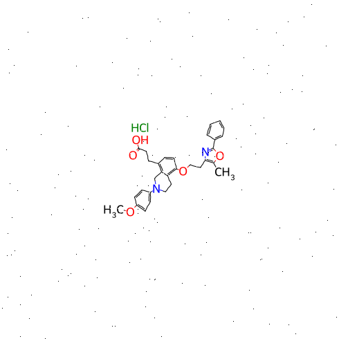 COc1ccc(N2CCc3c(OCCc4nc(-c5ccccc5)oc4C)ccc(CCC(=O)O)c3C2)cc1.Cl